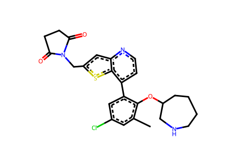 Cc1cc(Cl)cc(-c2ccnc3cc(CN4C(=O)CCC4=O)sc23)c1OC1CCCCNC1